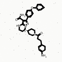 NC(=O)c1c(-c2ccc(Oc3ccccc3)cc2)nn2c1NCC[C@H]2C1CCN(C(=O)CCC2=CC=C(N)CC2)CC1